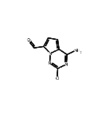 Nc1nc(Cl)nn2c(C=O)ccc12